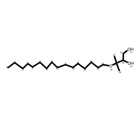 CCCCCCCCCCCCCCCCOC(C)(C)C(O)CO